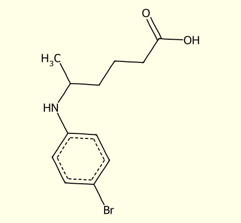 CC(CCCC(=O)O)Nc1ccc(Br)cc1